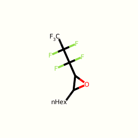 CCCCCCC1OC1C(F)(F)C(F)(F)C(F)(F)F